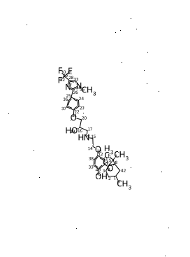 CC1CCC2C(C)(C)C2(Oc2cc(OCCNCC(O)COc3ccc(-c4nc(C(F)(F)F)cn4C)cc3)ccc2O)C1